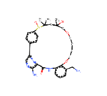 CC1(O)COCCCCOc2c(CN)cccc2NC(=O)c2nc(cnc2N)-c2ccc(cc2)[S+]([O-])C(C)(C)C1